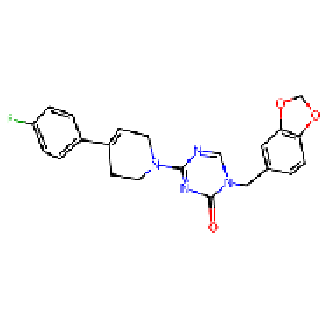 O=c1nc(N2CC=C(c3ccc(F)cc3)CC2)ncn1Cc1ccc2c(c1)OCO2